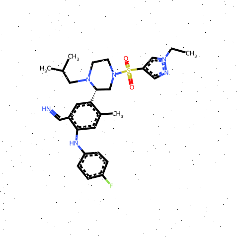 CCn1cc(S(=O)(=O)N2CCN(CC(C)C)[C@@H](c3cc(C=N)c(Nc4ccc(F)cc4)cc3C)C2)cn1